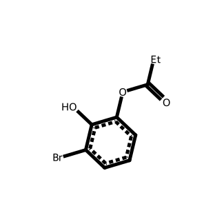 CCC(=O)Oc1cccc(Br)c1O